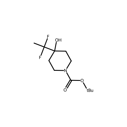 CC(C)(C)OC(=O)N1CCC(O)(C(C)(F)F)CC1